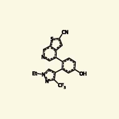 CCn1cc(-c2cc(O)ccc2-c2cncc3sc(C#N)cc23)c(C(F)(F)F)n1